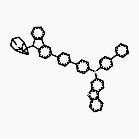 c1ccc(-c2ccc(N(c3ccc(-c4ccc(-c5ccc6c(c5)-c5ccccc5C6C56C7CC8CC(C7)C5C6C8)cc4)cc3)c3ccc4c(c3)oc3ccccc34)cc2)cc1